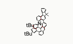 CC(C)(C)c1cc(-c2cccc3cccc(-c4ccccc4N(c4ccccc4)c4ccccc4-c4ccc5c(c4)C(C)(C)c4ccccc4-5)c23)cc(C(C)(C)C)c1